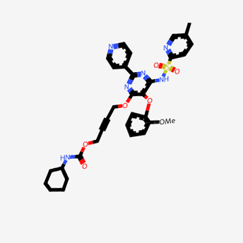 COc1ccccc1Oc1c(NS(=O)(=O)c2ccc(C)cn2)nc(-c2ccncc2)nc1OCC#CCOC(=O)NC1CCCCC1